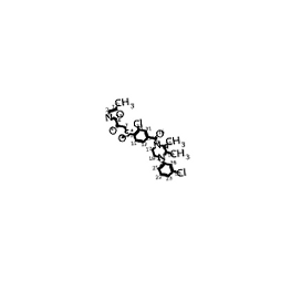 Cc1cnc(C(=O)C[S+]([O-])c2ccc(C(=O)N3CCN(c4cccc(Cl)c4)C(C)[C@@H]3C)cc2Cl)o1